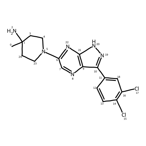 CC1(N)CCN(c2cnc3c(-c4ccc(Cl)c(Cl)c4)n[nH]c3n2)CC1